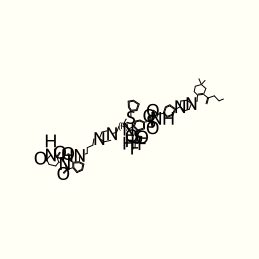 C=C(CCC)C1=C(CN2CCN(c3ccc(C(=O)NS(=O)(=O)c4ccc(N[C@H](CCN5CCN(CCCCNc6cccc7c6C(=O)N(C6CCC(=O)NC6=O)C7=O)CC5)CSc5ccccc5)c(S(=O)(=O)C(F)(F)F)c4)cc3)CC2)CCC(C)(C)C1